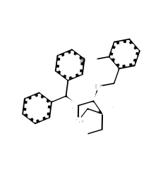 COc1ccccc1CN[C@H]1[C@H]2CC[N@@](C2)[C@H]1C(c1ccccc1)c1ccccc1